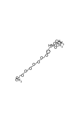 COCCOCCOCCOCCOCCOCCOCCOc1ccc(CCNC(=O)OC(C)(C)C)cc1